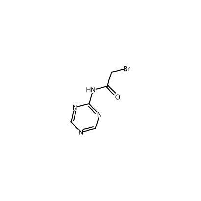 O=C(CBr)Nc1ncncn1